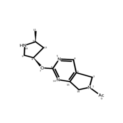 CC(=O)N1Cc2cnc(O[C@H]3CN[C@@H](C)C3)nc2C1